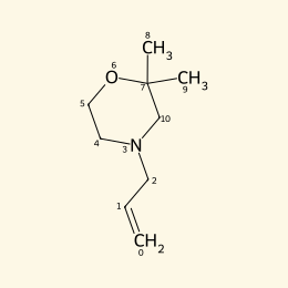 C=CCN1CCOC(C)(C)C1